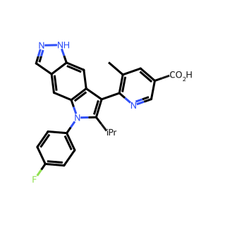 Cc1cc(C(=O)O)cnc1-c1c(C(C)C)n(-c2ccc(F)cc2)c2cc3cn[nH]c3cc12